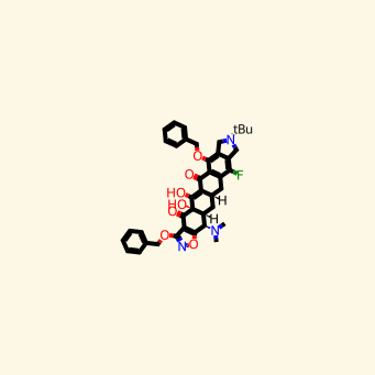 CN(C)[C@@H]1c2onc(OCc3ccccc3)c2C(=O)[C@@]2(O)C(O)=C3C(=O)c4c(c(F)c5c(c4OCc4ccccc4)CN(C(C)(C)C)C5)C[C@H]3C[C@@H]12